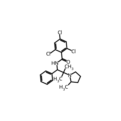 CC1CCCN1C(C)(C)C(NC(=O)c1c(Cl)cc(Cl)cc1Cl)c1ccccc1